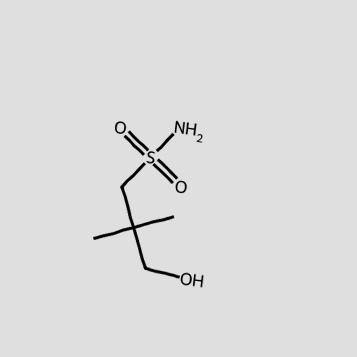 CC(C)(CO)CS(N)(=O)=O